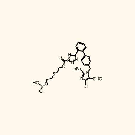 CCCCc1nc(Cl)c(C=O)n1Cc1ccc(-c2ccccc2-c2nnn(C(=O)OCCSCCON(O)O)n2)cc1